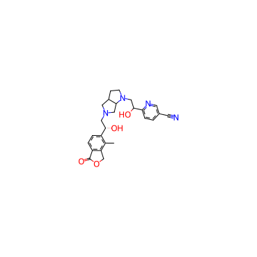 Cc1c([C@@H](O)CN2CC3CCN(CC(O)c4ccc(C#N)cn4)C3C2)ccc2c1COC2=O